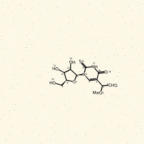 COC(C=O)c1cn([C@H]2O[C@@H](CO)C(O)C2O)c(=S)[nH]c1=O